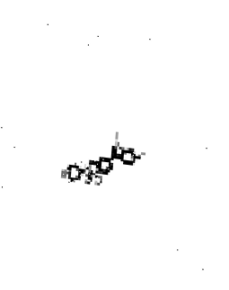 O=S1(=O)c2ccc(-c3c[nH]c4cc(F)ccc34)cc2CN1C1CCNCC1